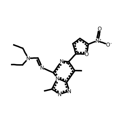 CCN(C=Nc1nc(-c2ccc([N+](=O)[O-])o2)c(C)c2nnc(C)n12)CC